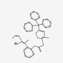 C=C(CC1=C(C)C=C(S(c2ccccc2)(c2ccccc2)c2ccccc2)CC1)Cc1ccccc1/C(C)=C(/C=C\C)C(C)C